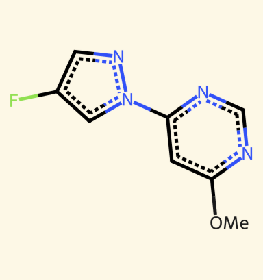 COc1cc(-n2cc(F)cn2)ncn1